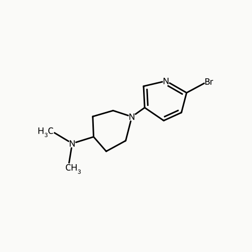 CN(C)C1CCN(c2ccc(Br)nc2)CC1